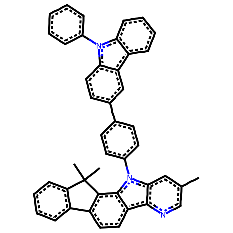 Cc1cnc2c3ccc4c(c3n(-c3ccc(-c5ccc6c(c5)c5ccccc5n6-c5ccccc5)cc3)c2c1)C(C)(C)c1ccccc1-4